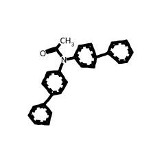 CC(=O)N(c1ccc(-c2ccccc2)cc1)c1ccc(-c2ccccc2)cc1